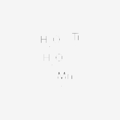 O.O.[Mn].[Ti]